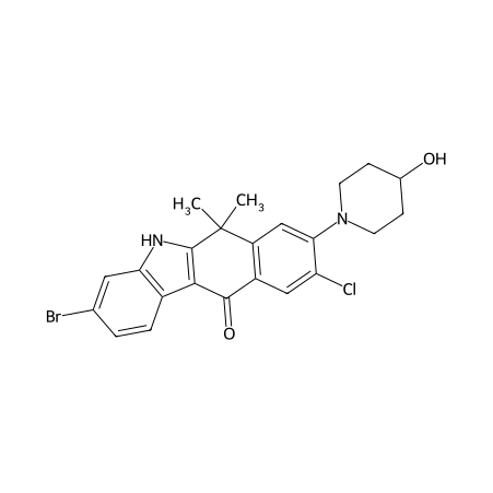 CC1(C)c2cc(N3CCC(O)CC3)c(Cl)cc2C(=O)c2c1[nH]c1cc(Br)ccc21